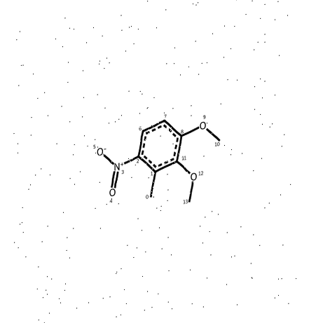 [CH2]c1c([N+](=O)[O-])ccc(OC)c1OC